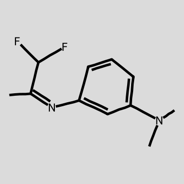 CC(=Nc1cccc(N(C)C)c1)C(F)F